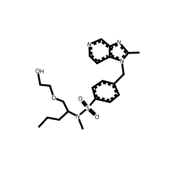 CCCC(COCCO)N(C)S(=O)(=O)c1ccc(Cn2c(C)nc3cnccc32)cc1